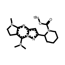 CN(C)c1c2c(nc3cc(C4CCCCN4C(=O)OC(C)(C)C)nn13)N(C)CC2